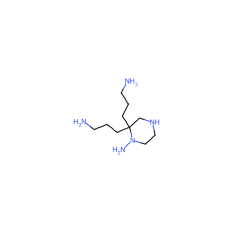 NCCCC1(CCCN)CNCCN1N